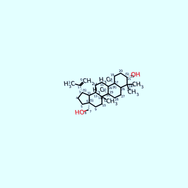 C=C(C)[C@H]1CC[C@]2(CO)CC[C@]3(C)C(CCC4[C@@]5(C)CC[C@H](O)C(C)(C)C5CC[C@]43C)C12